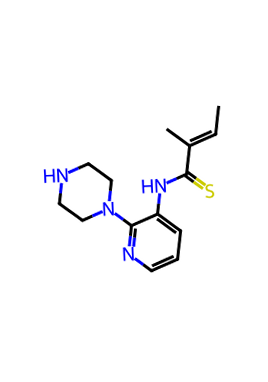 C/C=C(\C)C(=S)Nc1cccnc1N1CCNCC1